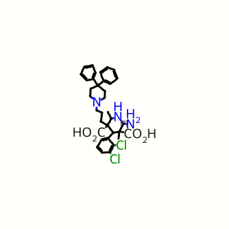 CC1N[C@@H](N)C(C)(C(=O)O)C(c2cccc(Cl)c2Cl)C1(CCCN1CCC(c2ccccc2)(c2ccccc2)CC1)C(=O)O